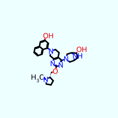 CN1CCC[C@H]1COc1nc2c(c(N3CC4C[C@@H](O)C(C3)N4)n1)CCN(c1cc(O)cc3ccccc13)C2